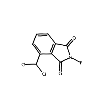 O=C1c2cccc(C(Cl)Cl)c2C(=O)N1F